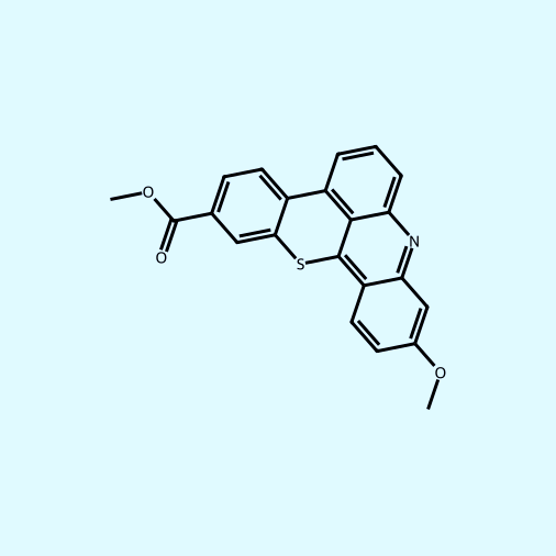 COC(=O)c1ccc2c(c1)Sc1c3ccc(OC)cc3nc3cccc-2c13